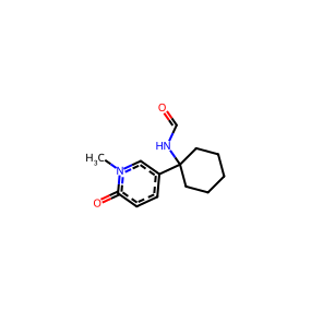 Cn1cc(C2(NC=O)CCCCC2)ccc1=O